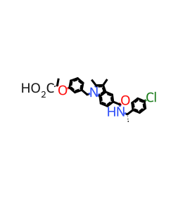 Cc1c(C)n(Cc2cccc(O[C@@H](C)C(=O)O)c2)c2ccc(C(=O)N[C@@H](C)c3ccc(Cl)cc3)cc12